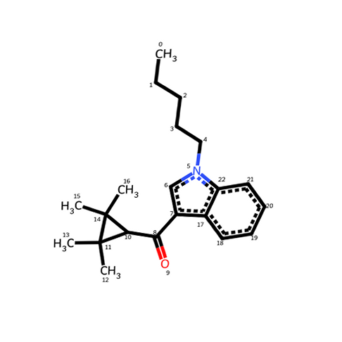 CCCCCn1cc(C(=O)C2C(C)(C)C2(C)C)c2ccccc21